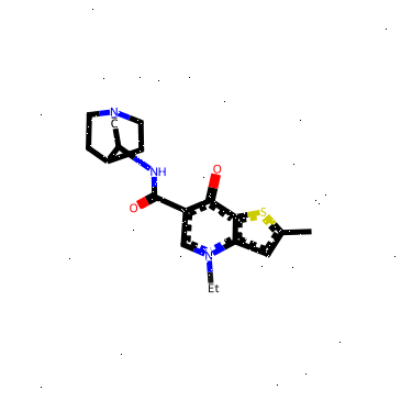 CCn1cc(C(=O)NC2CN3CCC2CC3)c(=O)c2sc(C)cc21